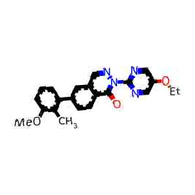 CCOc1cnc(-n2ncc3cc(-c4cccc(OC)c4C)ccc3c2=O)nc1